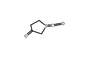 O=C=S1CCC(=O)C1